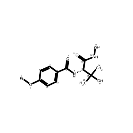 CCOc1ccc(C(=O)N[C@H](C(=O)NO)C(C)(C)O)cc1